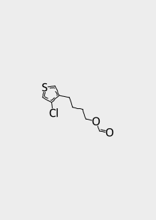 O=COCCCCc1cscc1Cl